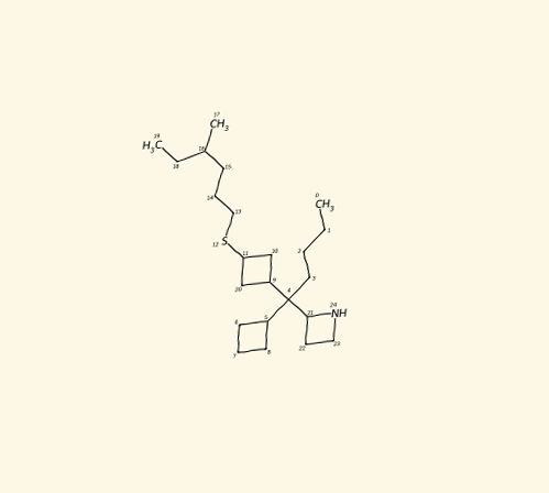 CCCCC(C1CCC1)(C1CC(SCCCC(C)CC)C1)C1CCN1